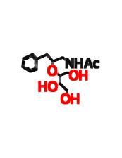 CC(=O)NCC(Cc1ccccc1)OC(CO)[C@@H](O)CO